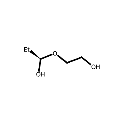 CC[C@H](O)OCCO